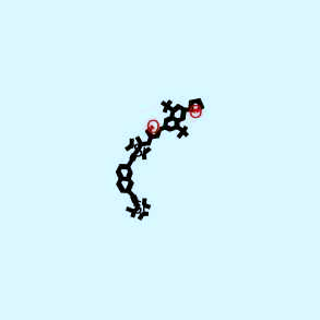 CC(C)[Si](C#Cc1ccc2ccc(C#C[Si](C(C)C)(C(C)C)C(C)Cc3coc(-c4cc(C(C)(C)C)c5cc(-c6ccco6)cc(C(C)(C)C)c5c4)c3)cc2c1)(C(C)C)C(C)C